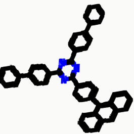 c1ccc(-c2ccc(-c3nc(-c4ccc(-c5ccccc5)cc4)nc(-c4ccc(-c5c6ccccc6cc6ccccc56)cc4)n3)cc2)cc1